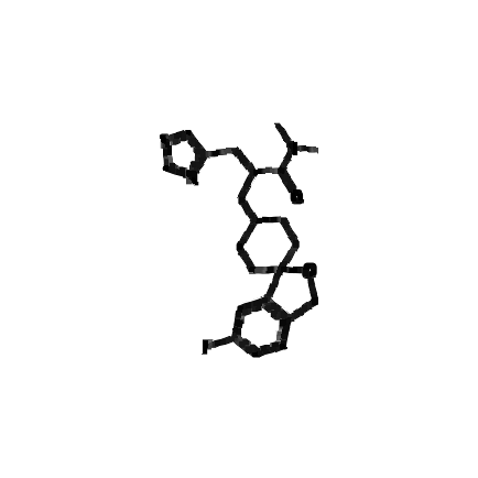 CN(C)C(=O)C(Cc1cscn1)CC1CCC2(CC1)OCc1ccc(F)cc12